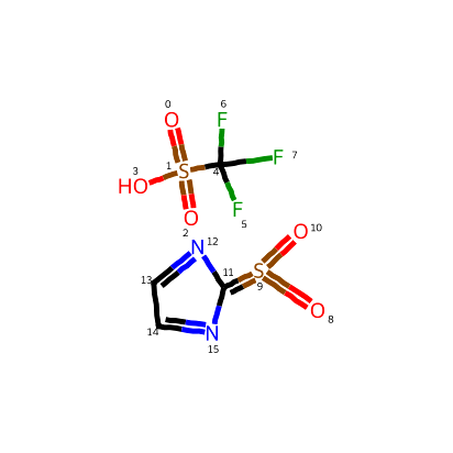 O=S(=O)(O)C(F)(F)F.O=S(=O)=C1N=CC=N1